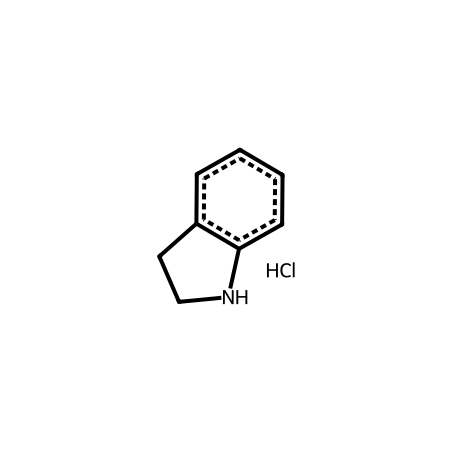 Cl.c1ccc2c(c1)CCN2